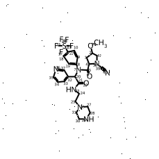 COC1CC(C(=O)N(c2ccc(S(F)(F)(F)(F)F)cc2)C(C(=O)NCCN2CCNCC2)c2cccnc2)N(C#N)C1